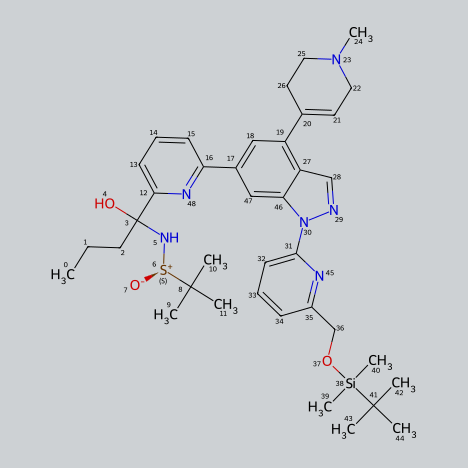 CCCC(O)(N[S@+]([O-])C(C)(C)C)c1cccc(-c2cc(C3=CCN(C)CC3)c3cnn(-c4cccc(CO[Si](C)(C)C(C)(C)C)n4)c3c2)n1